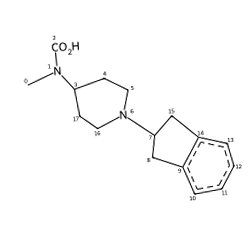 CN(C(=O)O)C1CCN(C2Cc3ccccc3C2)CC1